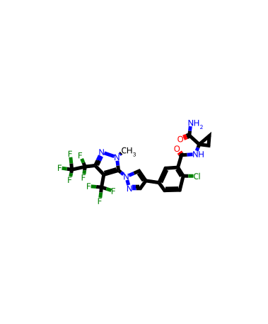 Cn1nc(C(F)(F)C(F)(F)F)c(C(F)(F)F)c1-n1cc(-c2ccc(Cl)c(C(=O)NC3(C(N)=O)CC3)c2)cn1